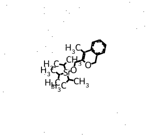 CC1=C(CO[Si](C(C)C)(C(C)C)C(C)C)OCc2ccccc21